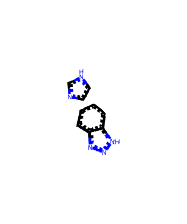 c1c[nH]cn1.c1ccc2[nH]nnc2c1